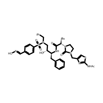 CC[C@H](C)[C@@H](C(=O)N[C@@H](Cc1ccccc1)[C@H](O)CN(CC(C)C)S(=O)(=O)c1ccc(/C=N/O)cc1)N1CCN(Cc2csc(NC(C)=O)n2)C1=O